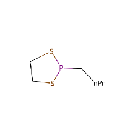 CCCCP1SCCS1